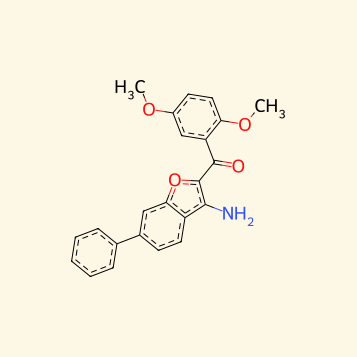 COc1ccc(OC)c(C(=O)c2oc3cc(-c4ccccc4)ccc3c2N)c1